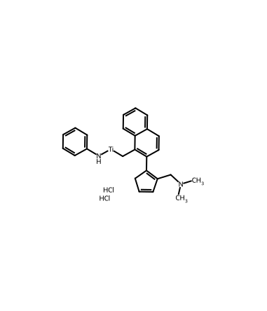 CN(C)CC1=C(c2ccc3ccccc3c2[CH2][Ti][NH]c2ccccc2)CC=C1.Cl.Cl